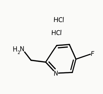 Cl.Cl.NCc1ccc(F)cn1